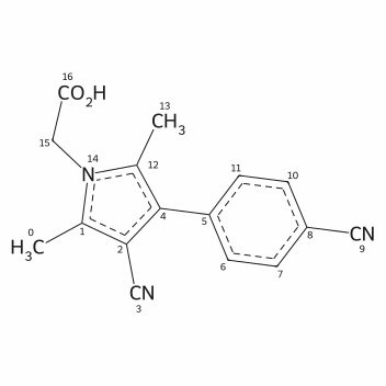 Cc1c(C#N)c(-c2ccc(C#N)cc2)c(C)n1CC(=O)O